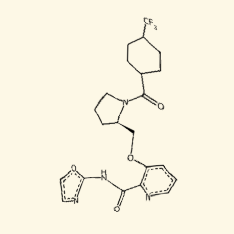 O=C(Nc1ncco1)c1ncccc1OC[C@H]1CCCN1C(=O)C1CCC(C(F)(F)F)CC1